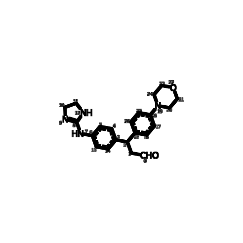 O=CCC(c1ccc(NC2=NCCN2)cc1)c1ccc(N2CCOCC2)cc1